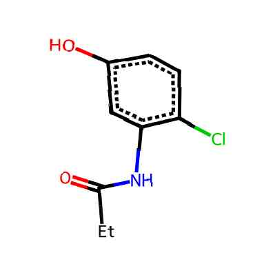 CCC(=O)Nc1cc(O)ccc1Cl